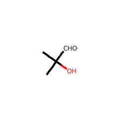 CC(C)(O)[C]=O